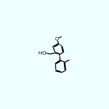 COc1ccc(-c2ccccc2C)c(CO)c1